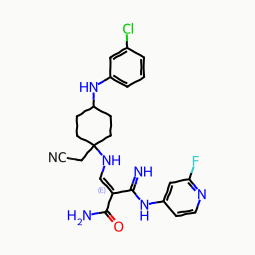 N#CCC1(N/C=C(\C(=N)Nc2ccnc(F)c2)C(N)=O)CCC(Nc2cccc(Cl)c2)CC1